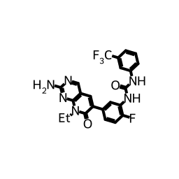 CCn1c(=O)c(-c2ccc(F)c(NC(=O)Nc3cccc(C(F)(F)F)c3)c2)cc2cnc(N)nc21